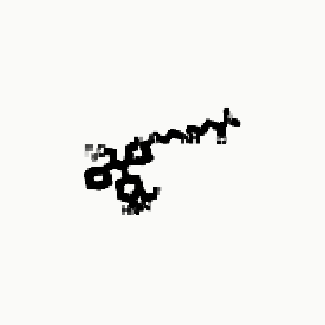 CN(C)C(=O)CCCNCCOc1ccc(C(=C(CC(F)(F)F)c2ccccc2)c2ccc3[nH]nc(F)c3c2)cn1